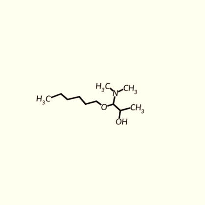 CCCCCCOC(C(C)O)N(C)C